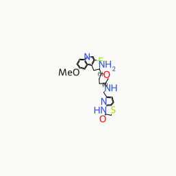 COc1ccc2ncc(F)c(CC(N)[C@@H]3CC[C@@H](NCc4ccc5c(n4)NC(=O)CS5)CO3)c2c1